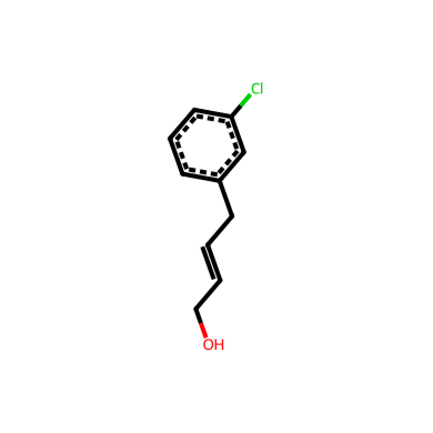 OCC=CCc1cccc(Cl)c1